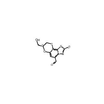 O=Cc1cc2c(c3sc(Cl)nc13)OC[C@H](CO)O2